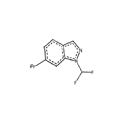 CC(C)c1ccc2cnn(C(F)F)c2c1